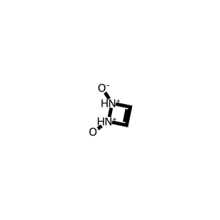 [O-][NH+]1C=C[NH+]1[O-]